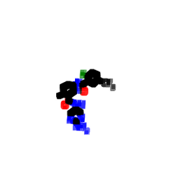 Cc1ccc(NC(=O)c2cc(C(F)(F)F)ccc2F)cc1C(=O)Nc1cnc(N)nc1